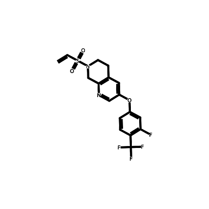 C=CS(=O)(=O)N1CCc2cc(Oc3ccc(C(F)(F)F)c(F)c3)cnc2C1